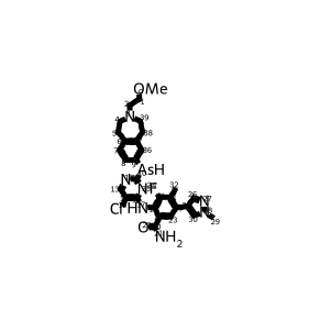 COCCN1CCc2ccc([AsH]c3ncc(Cl)c(Nc4c(C(N)=O)cc(-c5cnn(C)c5)c(C)c4F)n3)cc2CC1